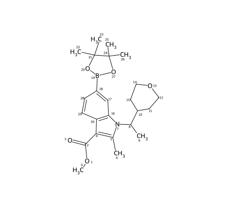 COC(=O)c1c(C)n(C(C)C2CCOCC2)c2cc(B3OC(C)(C)C(C)(C)O3)ccc12